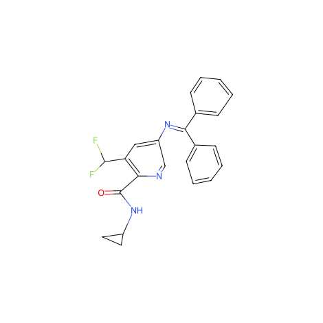 O=C(NC1CC1)c1ncc(N=C(c2ccccc2)c2ccccc2)cc1C(F)F